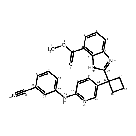 COC(=O)c1cccc2nc(C3(c4ccc(Nc5cccc(C#N)c5)nc4)CCC3)[nH]c12